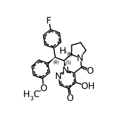 COc1cccc([C@@H](c2ccc(F)cc2)[C@H]2[C@H]3CCCN3C(=O)c3c(O)c(=O)cnn32)c1